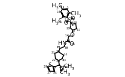 Cc1cc(C)c(S(=O)(=O)N2CCC(OCC(=O)NCCC3CCC(C(c4cccs4)N(C)C)CC3)C2)c(C)c1